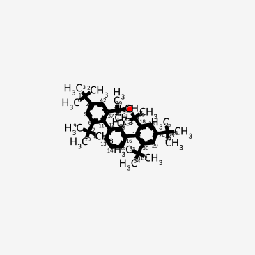 CC(C)(C)c1cc(C(C)(C)C)c(-c2cccc(-c3c(C(C)(C)C)cc(C(C)(C)C)cc3C(C)(C)C)c2[O])c(C(C)(C)C)c1